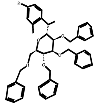 Cc1cc(Br)ccc1C(C)[C@H]1O[C@H](COCc2ccccc2)[C@@H](OCc2ccccc2)[C@H](OCc2ccccc2)[C@@H]1OCc1ccccc1